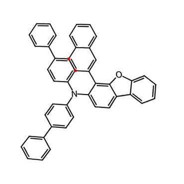 c1ccc(-c2ccc(N(c3ccc(-c4ccccc4)cc3)c3ccc4c(oc5ccccc54)c3-c3ccc4ccccc4c3)cc2)cc1